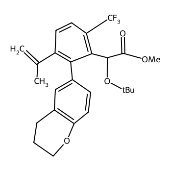 C=C(C)c1ccc(C(F)(F)F)c(C(OC(C)(C)C)C(=O)OC)c1-c1ccc2c(c1)CCCO2